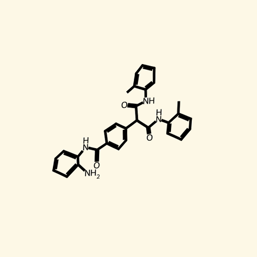 Cc1ccccc1NC(=O)C(C(=O)Nc1ccccc1C)c1ccc(C(=O)Nc2ccccc2N)cc1